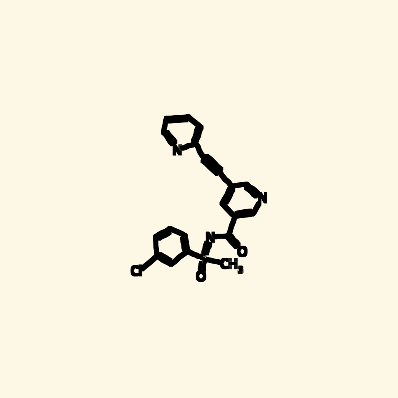 CS(=O)(=NC(=O)c1cncc(C#Cc2ccccn2)c1)c1cccc(Cl)c1